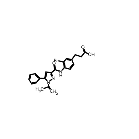 C=C(C)n1nc(C(=O)Nc2ccc(CCC(=O)O)cc2Br)cc1-c1ccccc1